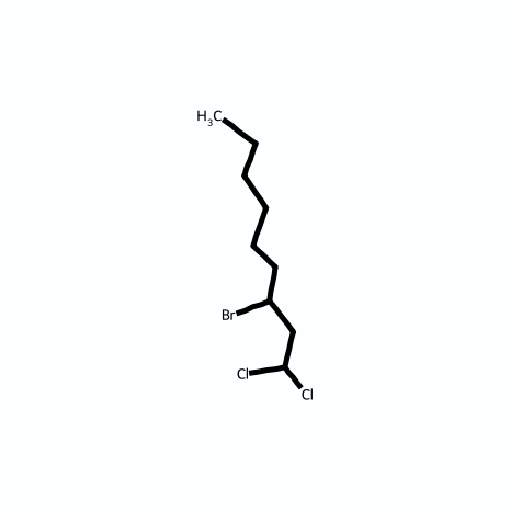 CCCCCCC(Br)CC(Cl)Cl